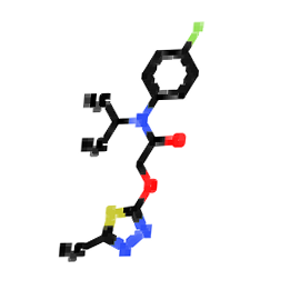 Cc1nnc(OCC(=O)N(c2ccc(F)cc2)C(C)C)s1